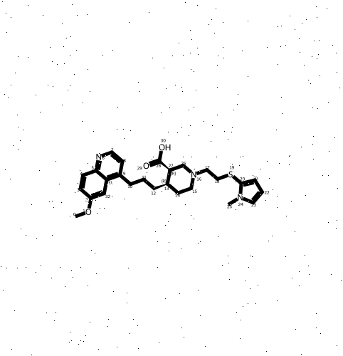 COc1ccc2nccc(CCC[C@@H]3CCN(CCSc4cccn4C)C[C@@H]3C(=O)O)c2c1